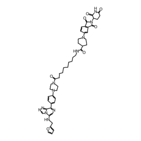 O=C1CCC(N2C(=O)c3ccc(N4CCC(C(=O)NCCCCCCCCCC(=O)N5CCN(c6ccc(-c7ncc(NCc8ccco8)n8cnnc78)cc6)CC5)CC4)cc3C2=O)C(=O)N1